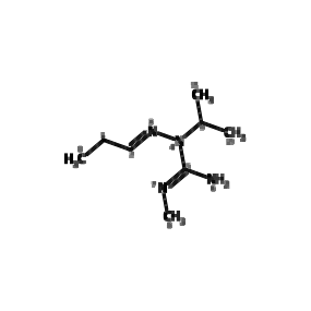 CCC=NN(C(N)=NC)C(C)C